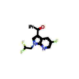 CC(C)C(=O)c1cn(CC(F)F)c2ncc(F)cc12